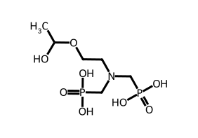 CC(O)OCCN(CP(=O)(O)O)CP(=O)(O)O